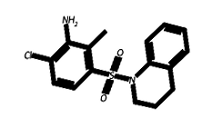 Cc1c(S(=O)(=O)N2CCCc3ccccc32)ccc(Cl)c1N